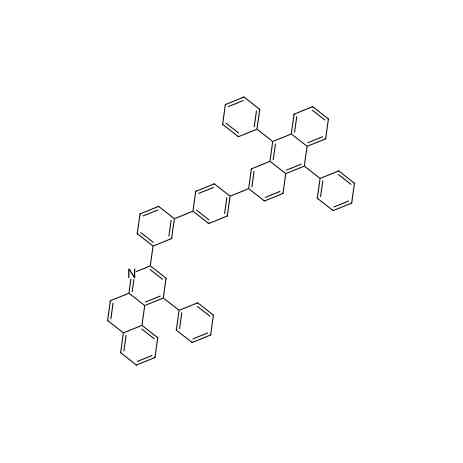 c1ccc(-c2c3ccccc3c(-c3ccccc3)c3cc(-c4ccc(-c5cccc(-c6cc(-c7ccccc7)c7c(ccc8ccccc87)n6)c5)cc4)ccc23)cc1